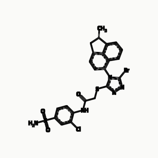 CC1Cc2ccc(-n3c(Br)nnc3SCC(=O)Nc3ccc(S(N)(=O)=O)cc3Cl)c3cccc1c23